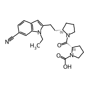 CCn1c(CC[C@@H]2CCCN2C(=O)[C@@H]2CCCN2C(=O)O)cc2ccc(C#N)cc21